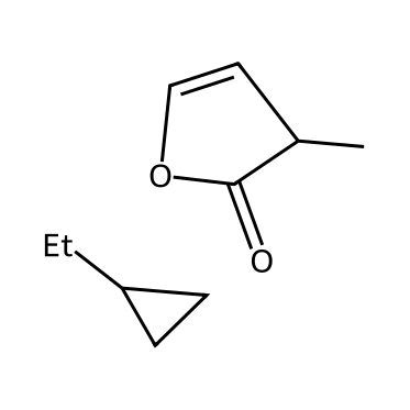 CC1C=COC1=O.CCC1CC1